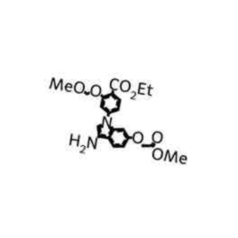 CCOC(=O)c1ccc(-n2cc(N)c3ccc(OCC(=O)OC)cc32)cc1OCOC